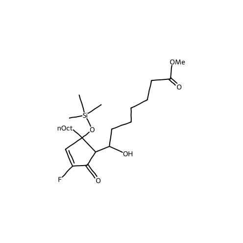 CCCCCCCCC1(O[Si](C)(C)C)C=C(F)C(=O)C1C(O)CCCCCC(=O)OC